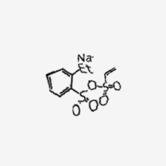 C=CS(=O)(=O)OS(=O)(=O)c1ccccc1CC.[Na]